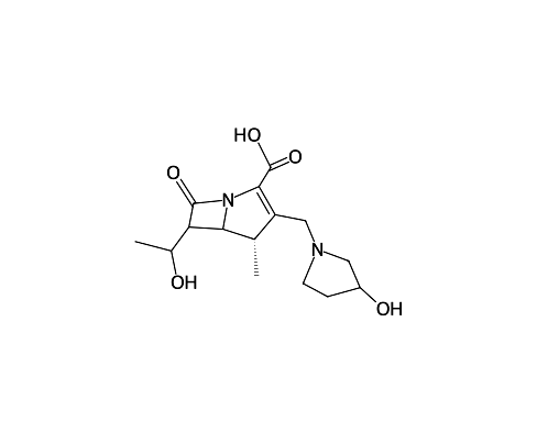 CC(O)C1C(=O)N2C(C(=O)O)=C(CN3CCC(O)C3)[C@H](C)C12